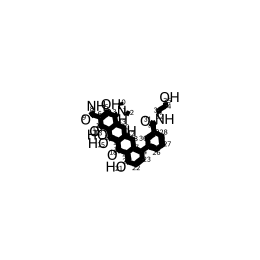 CN(C)C1C(O)=C(C(N)=O)C(=O)[C@@]2(O)C(O)=C3C(=O)c4c(O)ccc(-c5cccc(C(=O)NCCO)c5)c4C[C@H]3C[C@@H]12